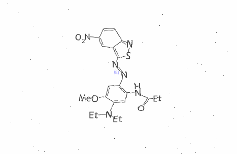 CCC(=O)Nc1cc(N(CC)CC)c(OC)cc1/N=N/c1snc2ccc([N+](=O)[O-])cc12